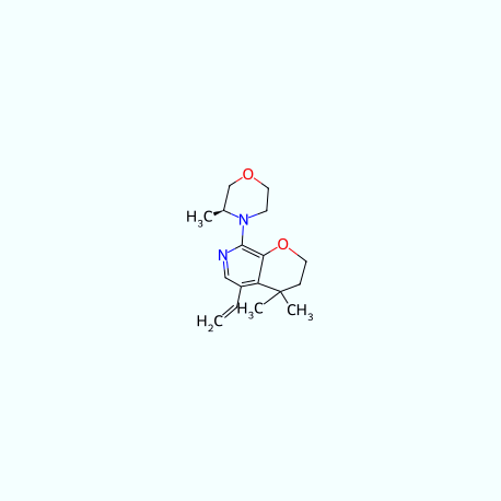 C=Cc1cnc(N2CCOC[C@@H]2C)c2c1C(C)(C)CCO2